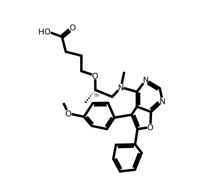 COc1ccc(-c2c(-c3ccccc3)oc3ncnc(N(C)C[C@H](C)OCCCC(=O)O)c23)cc1